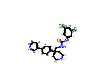 O=C(NCC1(C2=CC=C(c3cccnc3)CC2)CCNCC1)Nc1cc(Cl)cc(Cl)c1